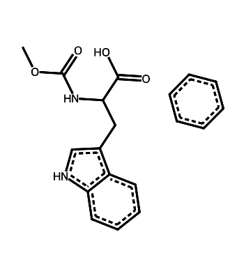 COC(=O)NC(Cc1c[nH]c2ccccc12)C(=O)O.c1ccccc1